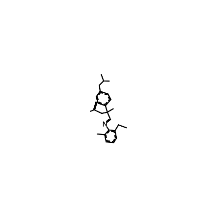 C=C(C)CC(C)(C=Nc1c(C)cccc1CC)c1ccc(CC(C)C)cc1